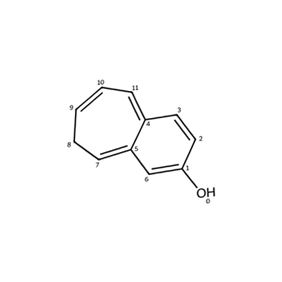 Oc1ccc2c(c1)=CCC=CC=2